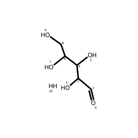 O=CC(O)C(O)C(O)CO.[HH]